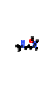 C=C(C)NCCCN(C)N(C)OC